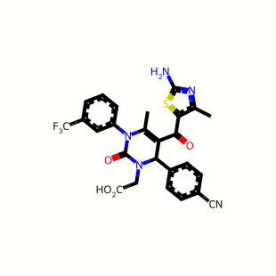 CC1=C(C(=O)c2sc(N)nc2C)C(c2ccc(C#N)cc2)N(CC(=O)O)C(=O)N1c1cccc(C(F)(F)F)c1